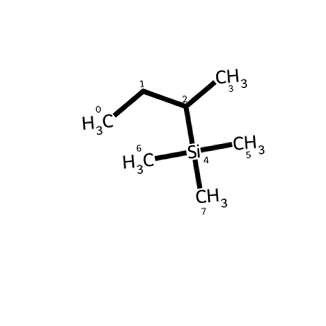 CCC(C)[Si](C)(C)C